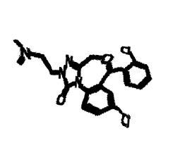 CN(C)CCn1nc2n(c1=O)-c1ccc(Cl)cc1C(c1ccccc1Cl)OC2